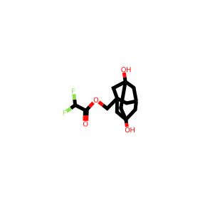 O=C(OCC12CC3CC(O)(CC(O)(C3)C1)C2)C(F)F